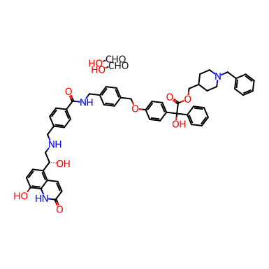 O=C(NCc1ccc(COc2ccc(C(O)(C(=O)OCC3CCN(Cc4ccccc4)CC3)c3ccccc3)cc2)cc1)c1ccc(CNC[C@H](O)c2ccc(O)c3[nH]c(=O)ccc23)cc1.O=CO.O=CO